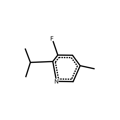 Cc1cnc(C(C)C)c(F)c1